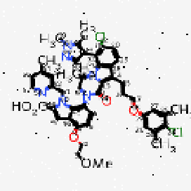 COCCOc1ccc(N2C[C@@H](C)n3c(c(CCCOc4cc(C)c(Cl)c(C)c4)c4ccc(Cl)c(-c5c(C)nn(C)c5C)c43)C2=O)c2c1cc(C(=O)O)n2Cc1cc(C)ccn1